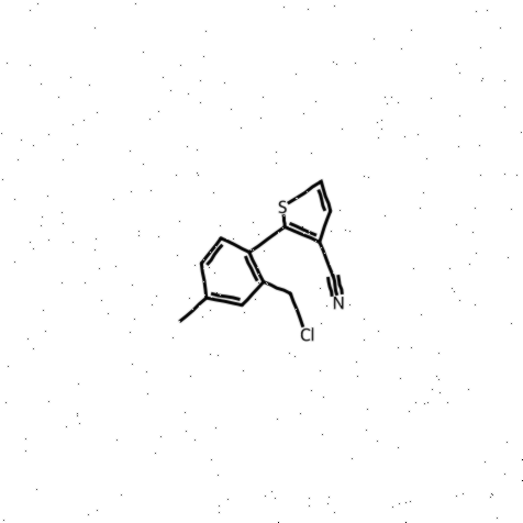 Cc1ccc(-c2sccc2C#N)c(CCl)c1